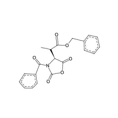 CC(C(=O)OCc1ccccc1)[C@H]1C(=O)OC(=O)N1C(=O)c1ccccc1